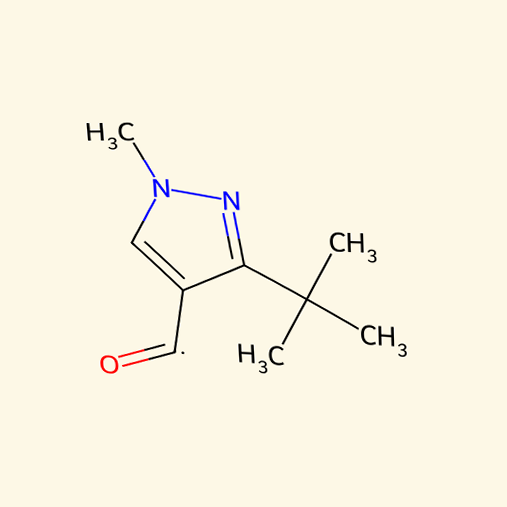 Cn1cc([C]=O)c(C(C)(C)C)n1